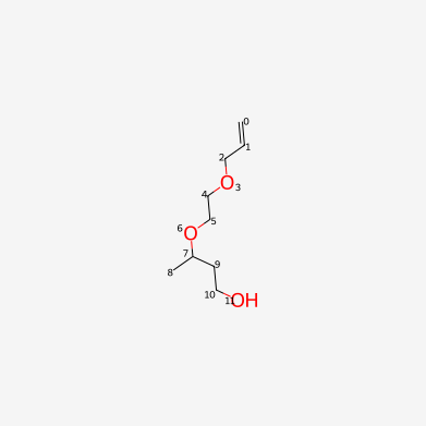 C=CCOCCOC(C)CCO